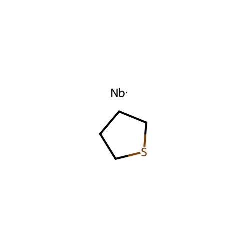 C1CCSC1.[Nb]